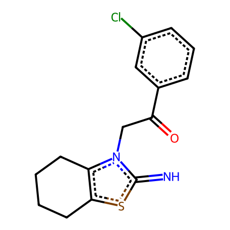 N=c1sc2c(n1CC(=O)c1cccc(Cl)c1)CCCC2